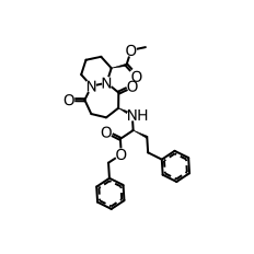 COC(=O)[C@@H]1CCCN2C(=O)CC[C@H](N[C@@H](CCc3ccccc3)C(=O)OCc3ccccc3)C(=O)N12